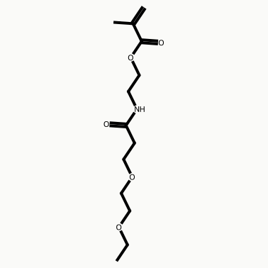 C=C(C)C(=O)OCCNC(=O)CCOCCOCC